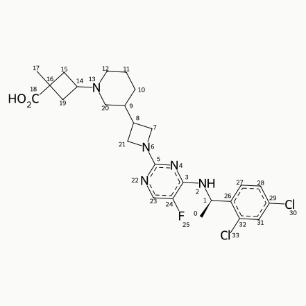 C[C@@H](Nc1nc(N2CC(C3CCCN(C4CC(C)(C(=O)O)C4)C3)C2)ncc1F)c1ccc(Cl)cc1Cl